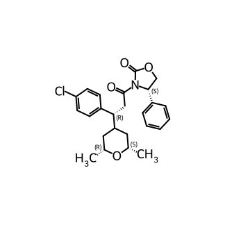 C[C@@H]1CC([C@@H](CC(=O)N2C(=O)OC[C@@H]2c2ccccc2)c2ccc(Cl)cc2)C[C@H](C)O1